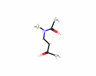 CC(=O)CCN(C)C(C)=O